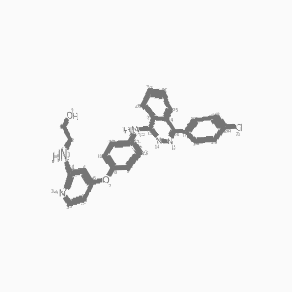 OCCNc1cc(Oc2ccc(Nc3nnc(-c4ccc(Cl)cc4)c4ccccc34)cc2)ccn1